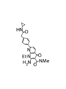 CCn1c(N)c(C(=O)NC)c(=O)c2ccc(-c3ccc(CC(=O)NC4CC4)cc3)nc21